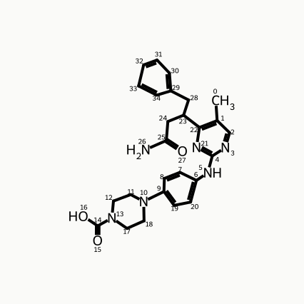 Cc1cnc(Nc2ccc(N3CCN(C(=O)O)CC3)cc2)nc1C(CC(N)=O)Cc1ccccc1